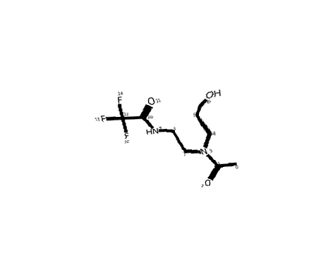 CC(=O)N(CCO)CCNC(=O)C(F)(F)F